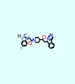 CN(CC(=O)N1CCC(C(=O)CC2c3ccccc3-c3cncn32)CC1)c1ccc(F)cc1